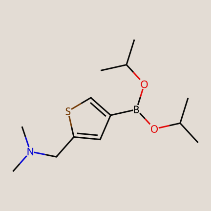 CC(C)OB(OC(C)C)c1csc(CN(C)C)c1